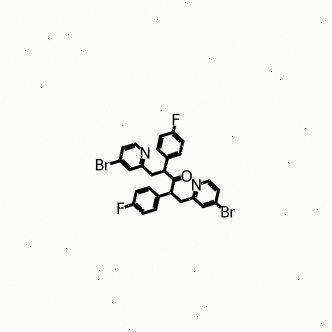 O=C(C(Cc1cc(Br)ccn1)c1ccc(F)cc1)C(Cc1cc(Br)ccn1)c1ccc(F)cc1